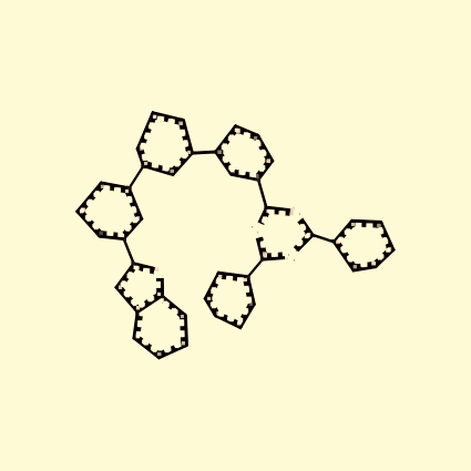 c1ccc(-c2nc(-c3ccccc3)nc(-c3cccc(-c4cccc(-c5cccc(-c6cc7ccccc7o6)c5)c4)c3)n2)cc1